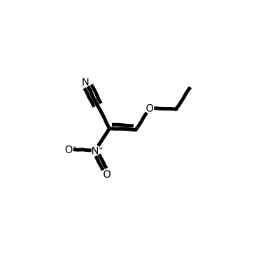 CCO/C=C(\C#N)[N+](=O)[O-]